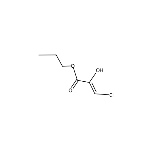 CCCOC(=O)C(O)=CCl